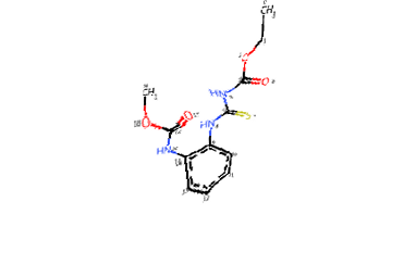 CCOC(=O)NC(=S)Nc1ccccc1NC(=O)OC